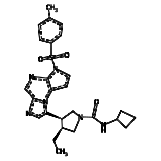 CC[C@@H]1CN(C(=O)NC2CCC2)C[C@@H]1c1cnc2cnc3c(ccn3S(=O)(=O)c3ccc(C)cc3)n12